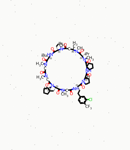 CCC(C)[C@@H]1NC(=O)[C@H](CC(C)C)N(C)C(=O)C[C@@H](C)N(C)C(=O)[C@H](C(C)C)N(C)C(=O)C2(CCCC2)NC(=O)[C@@H]2CCCN2C(=O)[C@H](CCc2ccc(C(F)(F)F)c(Cl)c2)NC(=O)CN(C)C(=O)[C@H](CC2CCCC2)N(C)C(=O)CN(C)C(=O)CN(C)C1=O